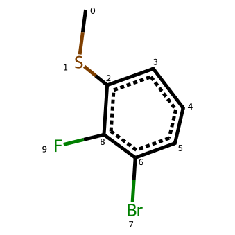 CSc1cccc(Br)c1F